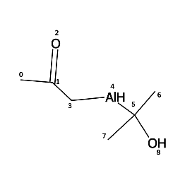 CC(=O)[CH2][AlH][C](C)(C)O